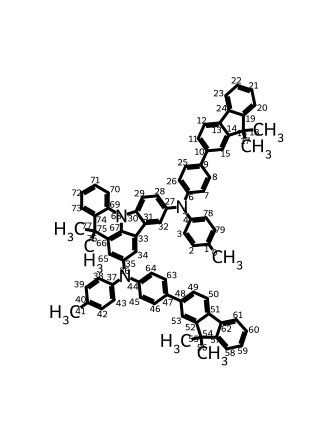 Cc1ccc(N(c2ccc(-c3ccc4c(c3)C(C)(C)c3ccccc3-4)cc2)c2ccc3c(c2)c2cc(N(c4ccc(C)cc4)c4ccc(-c5ccc6c(c5)C(C)(C)c5ccccc5-6)cc4)cc4c2n3-c2ccccc2C4(C)C)cc1